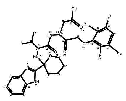 CC(C)[C@H](NC1(c2nc3ccccc3[nH]2)CCCCO1)C(=O)N[C@@H](CC(=O)O)C(=O)COc1c(F)c(F)cc(F)c1F